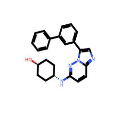 O[C@H]1CC[C@H](Nc2ccc3ncc(-c4cccc(-c5ccccc5)c4)n3n2)CC1